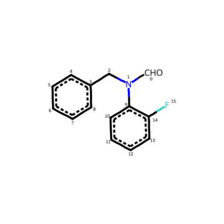 O=CN(Cc1ccccc1)c1ccccc1F